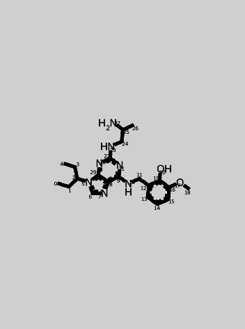 CCC(CC)n1cnc2c(NCc3cccc(OC)c3O)nc(NCC(C)N)nc21